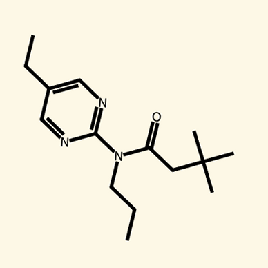 CCCN(C(=O)CC(C)(C)C)c1ncc(CC)cn1